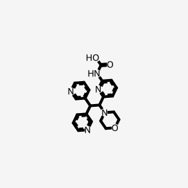 O=C(O)Nc1cccc(C(C(c2cccnc2)c2cccnc2)N2CCOCC2)n1